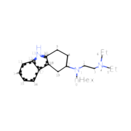 CCCCCCN(CCN(CC)CC)C1CCc2[nH]c3ccccc3c2C1